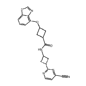 N#Cc1ccnc(N2CC(NC(=O)C3CC(Oc4cccc5scnc45)C3)C2)n1